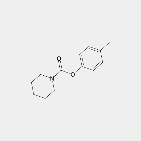 Cc1ccc(OC(=O)N2CCCCC2)cc1